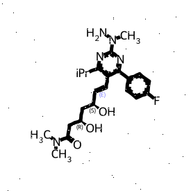 CC(C)c1nc(N(C)N)nc(-c2ccc(F)cc2)c1/C=C/[C@@H](O)C[C@@H](O)CC(=O)N(C)C